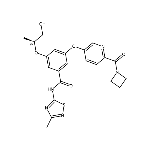 Cc1nsc(NC(=O)c2cc(Oc3ccc(C(=O)N4CCC4)nc3)cc(O[C@@H](C)CO)c2)n1